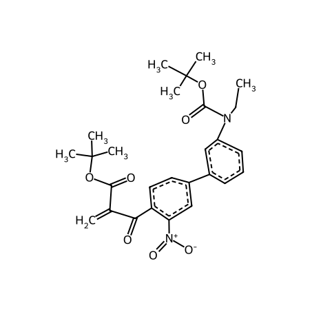 C=C(C(=O)OC(C)(C)C)C(=O)c1ccc(-c2cccc(N(CC)C(=O)OC(C)(C)C)c2)cc1[N+](=O)[O-]